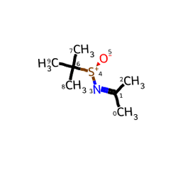 CC(C)=N[S@+]([O-])C(C)(C)C